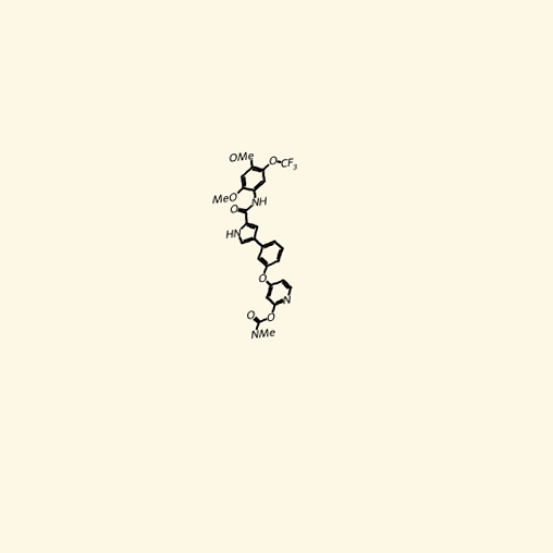 CNC(=O)Oc1cc(Oc2cccc(-c3c[nH]c(C(=O)Nc4cc(OC(F)(F)F)c(OC)cc4OC)c3)c2)ccn1